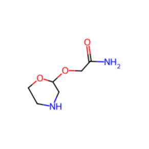 NC(=O)COC1CNCCO1